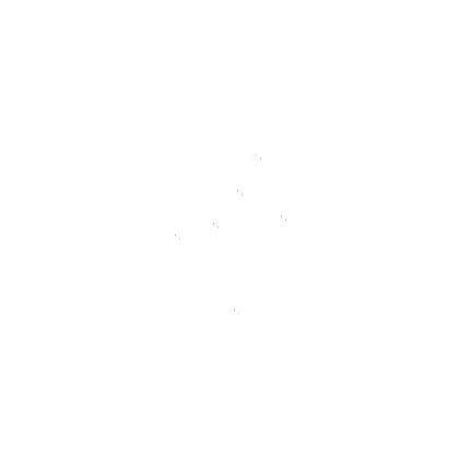 C=CC(=O)Nc1ccc2ncn(-c3cncc(NCC4CC4)n3)c2c1